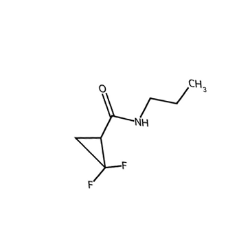 CCCNC(=O)C1CC1(F)F